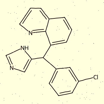 Clc1cccc(C(c2cnc[nH]2)c2cccc3cccnc23)c1